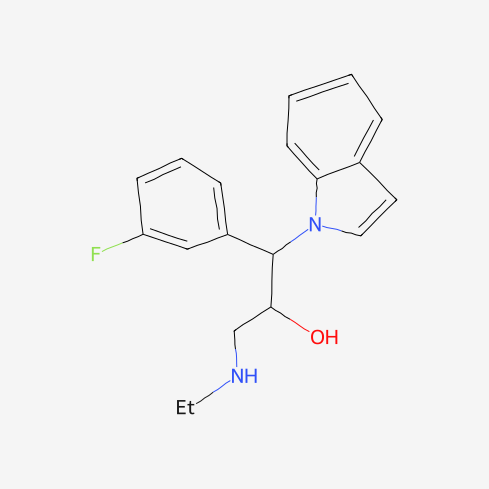 CCNCC(O)C(c1cccc(F)c1)n1ccc2ccccc21